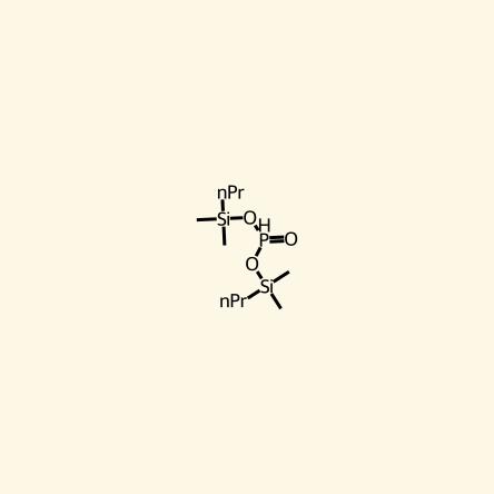 CCC[Si](C)(C)O[PH](=O)O[Si](C)(C)CCC